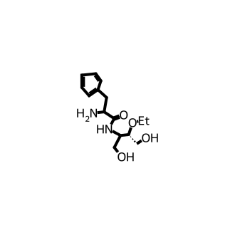 CCO[C@H](CO)C(CO)NC(=O)C(N)Cc1ccccc1